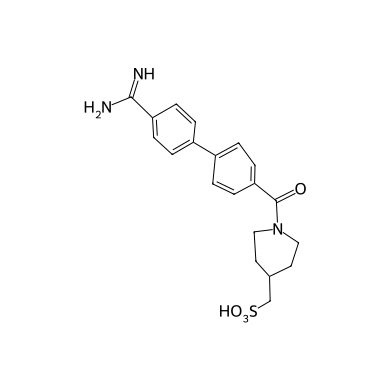 N=C(N)c1ccc(-c2ccc(C(=O)N3CCC(CS(=O)(=O)O)CC3)cc2)cc1